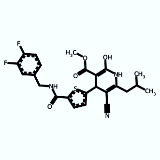 COC(=O)C1=C(O)NC(CC(C)C)=C(C#N)C1c1ccc(C(=O)NCc2ccc(F)c(F)c2)s1